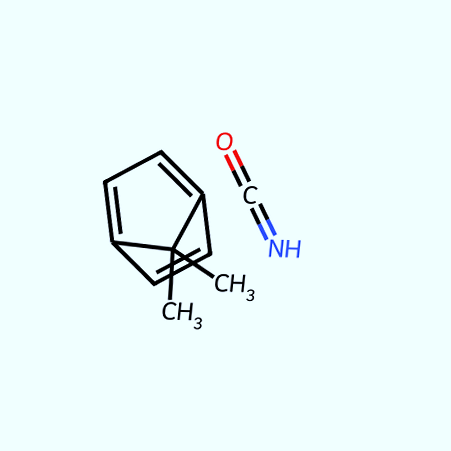 CC1(C)C2=CC=C1C=C2.N=C=O